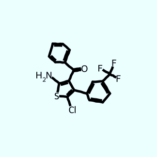 Nc1sc(Cl)c(-c2cccc(C(F)(F)F)c2)c1C(=O)c1ccccc1